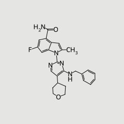 Cc1cc2c(C(N)=O)cc(F)cc2n1-c1ncc(C2CCOCC2)c(NCc2ccccc2)n1